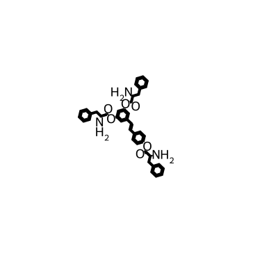 N[C@@H](Cc1ccccc1)C(=O)Oc1ccc(C=Cc2cc(OC(=O)[C@@H](N)Cc3ccccc3)cc(OC(=O)[C@@H](N)Cc3ccccc3)c2)cc1